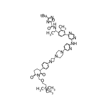 Cc1cc(-c2cc(Nc3ccc(N4CCN(C5CN(c6ccc(C7CCC(=O)N(COCC[Si](C)(C)C)C7=O)cc6)C5)CC4)cn3)ncn2)ccc1[C@@H](C)NC(=O)c1nc(C(C)(C)C)no1